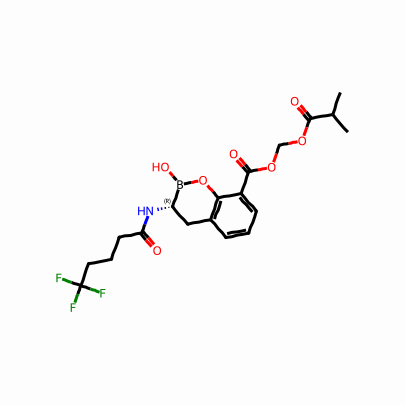 CC(C)C(=O)OCOC(=O)c1cccc2c1OB(O)[C@@H](NC(=O)CCCC(F)(F)F)C2